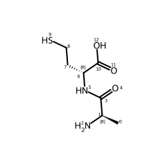 C[C@@H](N)C(=O)N[C@H](CCS)C(=O)O